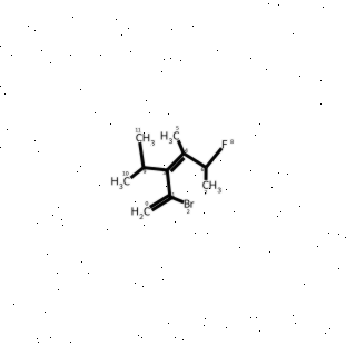 C=C(Br)/C(=C(/C)C(C)F)C(C)C